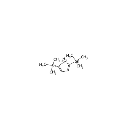 [CH3][Sn]([CH3])([CH3])[C]1=CC=[C]([Sn]([CH3])([CH3])[CH3])[SeH2]1